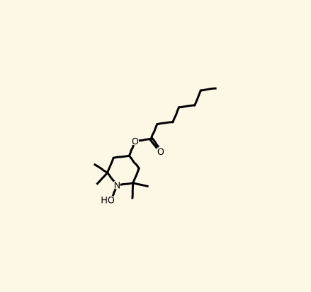 CCCCCCC(=O)OC1CC(C)(C)N(O)C(C)(C)C1